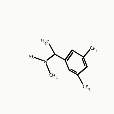 CCN(C)C(C)c1cc(C(F)(F)F)cc(C(F)(F)F)c1